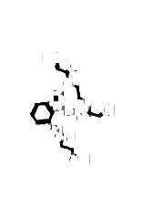 C=CC(=O)OCCOC(=O)C=C.CCOCC.OCCO.Oc1ccccc1